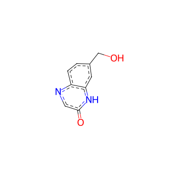 O=c1cnc2ccc(CO)cc2[nH]1